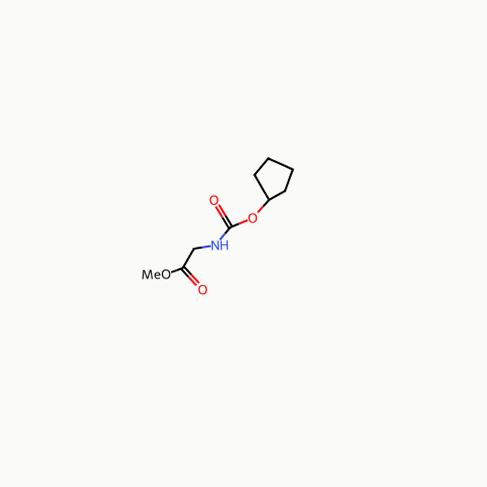 COC(=O)CNC(=O)OC1CCCC1